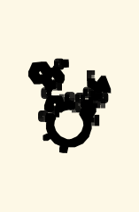 COc1cnc(O[C@@H]2C[C@H]3C(=O)N[C@]4(C(=O)NS(=O)(=O)C5(CF)CC5)C[C@H]4CCCCC(C)C[C@@H](C)CC(=O)N3C2)c2ccccc12